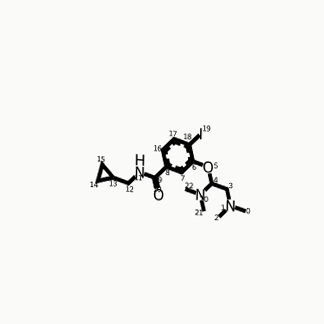 CN(C)CC(Oc1cc(C(=O)NCC2CC2)ccc1I)N(C)C